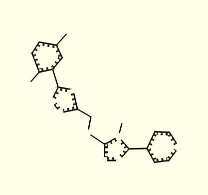 CCn1c(SCc2noc(-c3cc(Cl)ccc3F)n2)nnc1-c1ccncc1